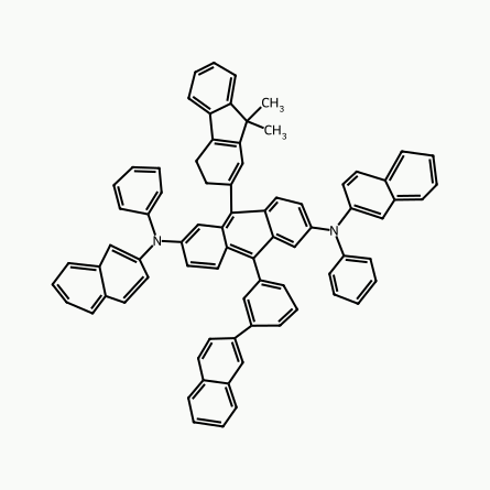 CC1(C)C2=C(CCC(c3c4cc(N(c5ccccc5)c5ccc6ccccc6c5)ccc4c(-c4cccc(-c5ccc6ccccc6c5)c4)c4cc(N(c5ccccc5)c5ccc6ccccc6c5)ccc34)=C2)c2ccccc21